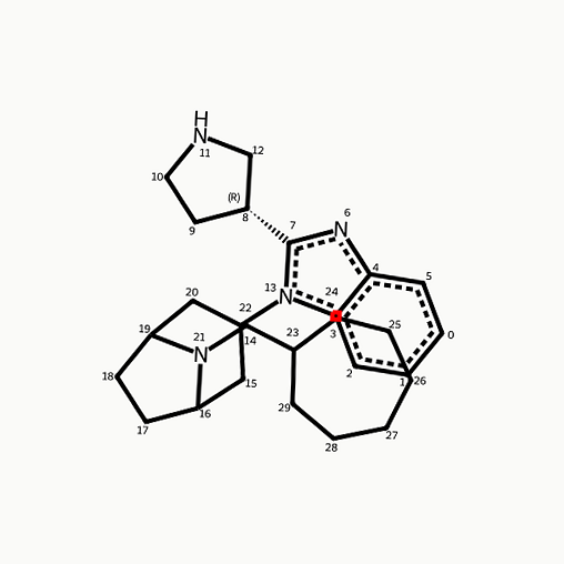 c1ccc2c(c1)nc([C@@H]1CCNC1)n2C1CC2CCC(C1)N2CC1CCCCCC1